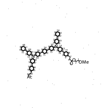 COCCOC(=O)CCc1ccc(-c2ccc(N(c3ccc(-c4ccccc4)cc3)c3ccc(-c4ccc(-c5ccc(N(c6ccc(-c7ccccc7)cc6)c6ccc(-c7ccc(CCC(C)=O)cc7)cc6)cc5)cc4)cc3)cc2)cc1